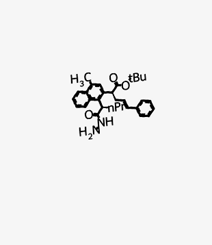 CCC[C@@H](C(=O)NN)c1c([C@H](CC=Cc2ccccc2)C(=O)OC(C)(C)C)cc(C)c2ccccc12